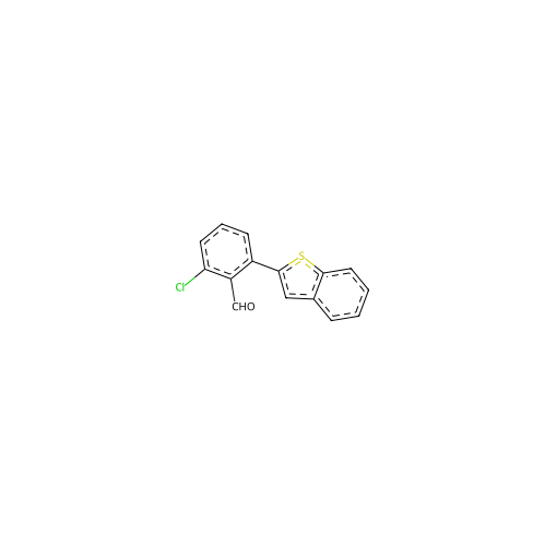 O=Cc1c(Cl)cccc1-c1cc2ccccc2s1